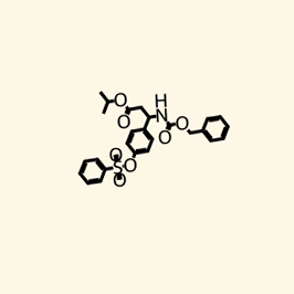 CC(C)OC(=O)CC(NC(=O)OCc1ccccc1)c1ccc(OS(=O)(=O)c2ccccc2)cc1